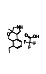 CCc1cccc2c1COC1(C)CNCC21.O=C(O)C(F)(F)F